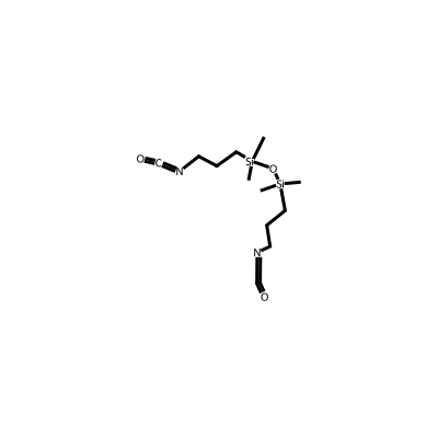 C[Si](C)(CCCN=C=O)O[Si](C)(C)CCCN=C=O